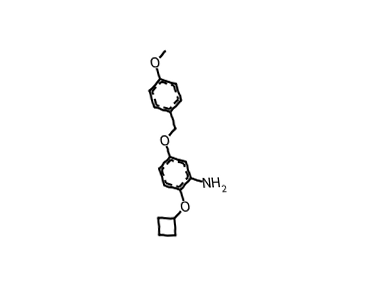 COc1ccc(COc2ccc(OC3CCC3)c(N)c2)cc1